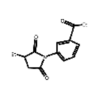 CCC(=O)c1cccc(N2C(=O)CC(CC)C2=O)c1